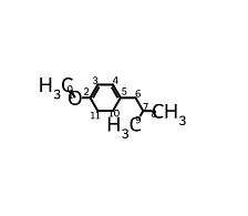 COC1=CC=C(CC(C)C)CC1